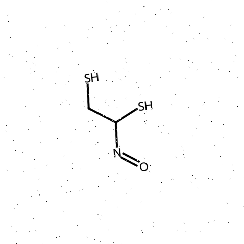 O=NC(S)CS